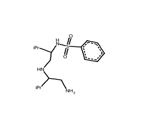 CC(C)C(CN)NCC(NS(=O)(=O)c1ccccc1)C(C)C